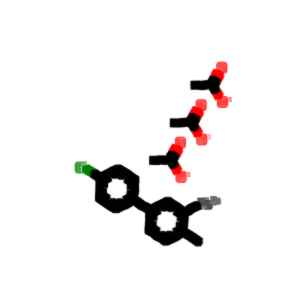 CC(=O)[O-].CC(=O)[O-].CC(=O)[O-].Cc1ccc(-c2ccc(Cl)cc2)c[c]1[Pb+3]